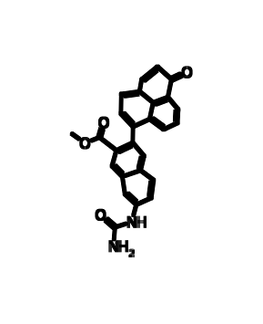 COC(=O)c1cc2cc(NC(N)=O)ccc2cc1-c1ccc2c3c(cccc13)C(=O)C=C2